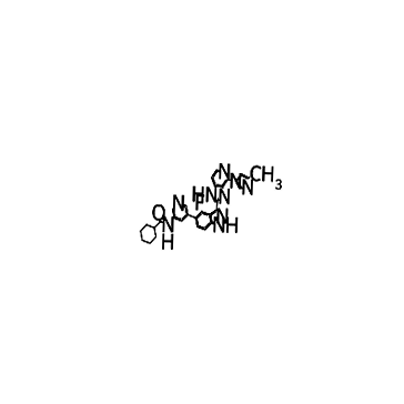 Cc1cn(-c2nccc3[nH]c(-c4n[nH]c5ccc(-c6cncc(NC(=O)C7CCCCC7)c6)c(F)c45)nc23)cn1